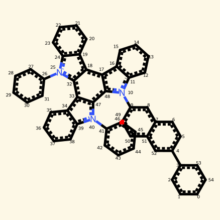 c1ccc(-c2ccc3cc(-n4c5ccccc5c5c6c7ccccc7n(-c7ccccc7)c6c6c7ccccc7n(-c7ccccc7)c6c54)ccc3c2)cc1